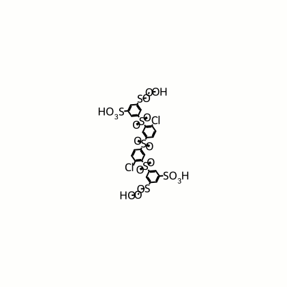 O=S(=O)(O)c1cc(SOOO)cc(S(=O)(=O)c2cc(S(=O)(=O)c3ccc(Cl)c(S(=O)(=O)c4cc(SOOO)cc(S(=O)(=O)O)c4)c3)ccc2Cl)c1